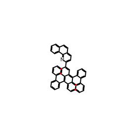 c1ccc(-c2ccccc2-c2c3ccccc3c(-c3ccccc3-c3ccccc3)c3cc(-c4ccc5ccc6ccccc6c5n4)ccc23)cc1